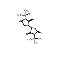 CC(C)(C)N1C(=O)CC(C2CC(=O)N(C(C)(C)C)C2=O)C1=O